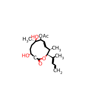 C=C/C=C(\C)[C@H]1OC(=O)C[C@H](O)CC[C@@](C)(O)[C@@H](OC(C)=O)/C=C/[C@@H]1C